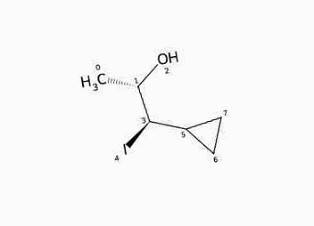 C[C@H](O)[C@H](I)C1CC1